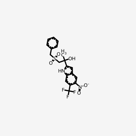 CC(O)(CS(=O)(=O)Cc1ccccc1)c1cc2cc([N+](=O)[O-])c(C(F)(F)F)cc2[nH]1